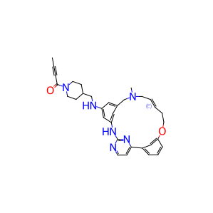 CC#CC(=O)N1CCC(CNc2cc3cc(c2)Nc2nccc(n2)-c2cccc(c2)OCC/C=C/CN(C)C3)CC1